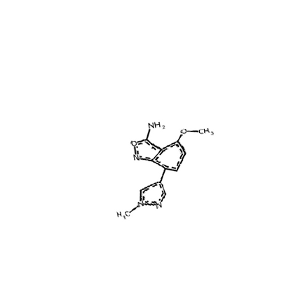 COc1ccc(-c2cnn(C)c2)c2noc(N)c12